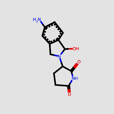 Nc1ccc2c(c1)CN(C1CCC(=O)NC1=O)C2O